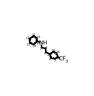 FC(F)(F)c1ccc(CCCNc2ccccc2)cc1